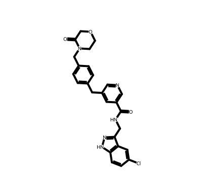 O=C(NCc1n[nH]c2ccc(Cl)cc12)c1cncc(Cc2ccc(CN3CCOCC3=O)cc2)c1